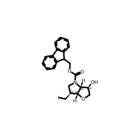 O=C(OCC1c2ccccc2-c2ccccc21)N1C[C@H](CI)[C@H]2OC[C@H](O)[C@H]21